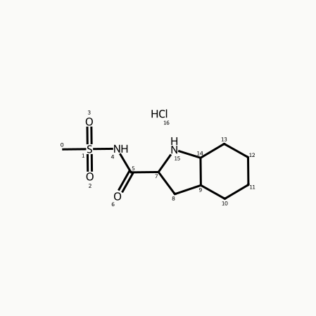 CS(=O)(=O)NC(=O)C1CC2CCCCC2N1.Cl